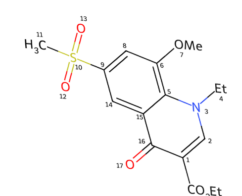 CCOC(=O)c1cn(CC)c2c(OC)cc(S(C)(=O)=O)cc2c1=O